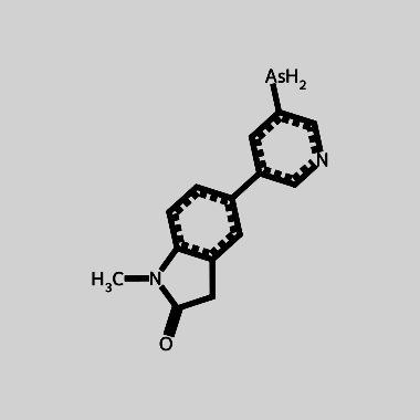 CN1C(=O)Cc2cc(-c3cncc([AsH2])c3)ccc21